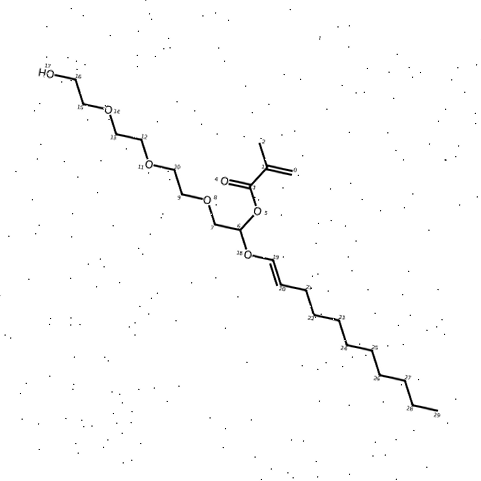 C=C(C)C(=O)OC(COCCOCCOCCO)O/C=C/CCCCCCCCC